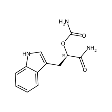 NC(=O)O[C@H](Cc1c[nH]c2ccccc12)C(N)=O